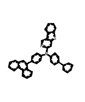 c1ccc(-c2ccc(N(c3ccc(-c4cc5ccccc5c5ccccc45)cc3)c3cc4sc5ccccc5c4cn3)cc2)cc1